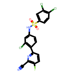 N#Cc1nc(-c2ccc(NS(=O)(=O)c3ccc(Cl)c(Cl)c3)cc2Cl)ccc1F